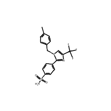 Cc1ccc(Cn2cc(C(F)(F)F)nc2-c2ccc(S(N)(=O)=O)cc2)cc1